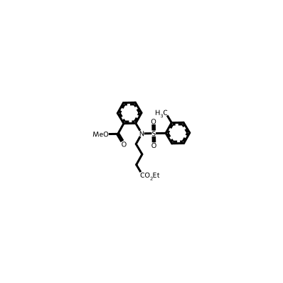 CCOC(=O)CCCN(c1ccccc1C(=O)OC)S(=O)(=O)c1ccccc1C